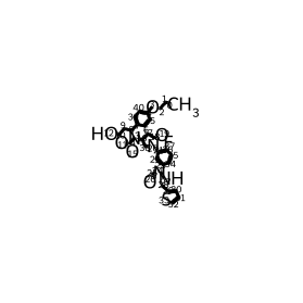 CCCOc1ccc(C(CC(=O)O)N(C=O)C2CC(=O)N(c3cc(N(C=O)NCc4cccs4)ccc3F)C2)cc1